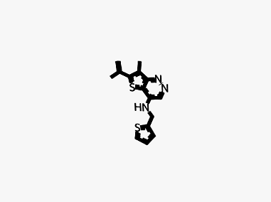 C=C(C)c1sc2c(NCc3cccs3)cnnc2c1C